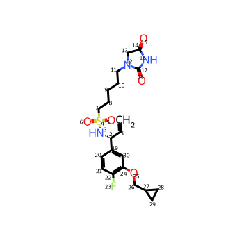 C=C[C@@H](NS(=O)(=O)CCCCCN1CC(=O)NC1=O)c1ccc(F)c(OCC2CC2)c1